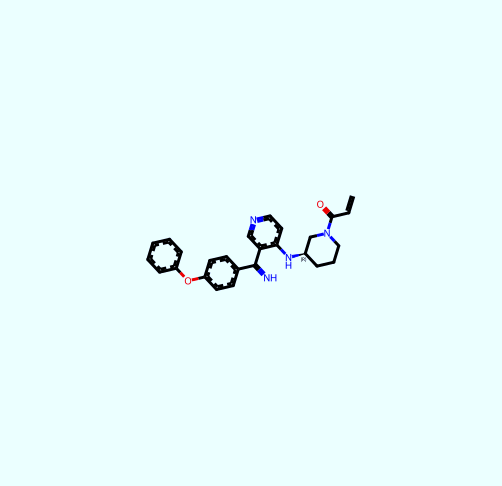 C=CC(=O)N1CCC[C@@H](Nc2ccncc2C(=N)c2ccc(Oc3ccccc3)cc2)C1